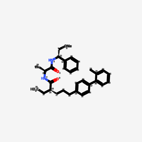 COC[C@@H](NC(=O)[C@@H](NC(=O)[C@H](CCCc1ccc(-c2ccccc2C)cc1)CC(=O)O)C(C)(C)C)c1ccccc1